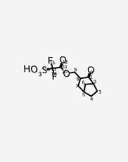 O=C1C2CCC(C2)CC1COC(=O)C(F)(F)S(=O)(=O)O